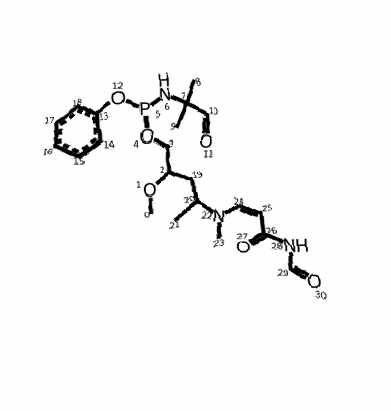 COC(COP(NC(C)(C)C=O)Oc1ccccc1)CC(C)N(C)/C=C\C(=O)NC=O